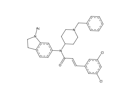 CC(=O)N1CCc2ccc(N(C(=O)C=Cc3cc(Cl)cc(Cl)c3)C3CCN(Cc4ccccc4)CC3)cc21